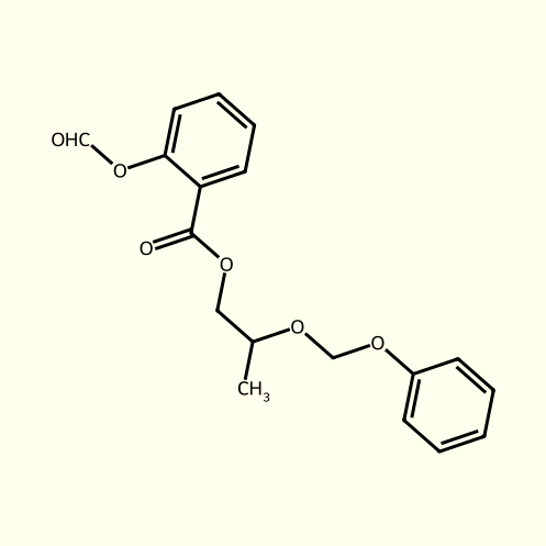 CC(COC(=O)c1ccccc1OC=O)OCOc1ccccc1